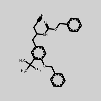 CC(C)(C)c1cc(CC(CC#N)NC(=O)OCc2ccccc2)ccc1OCc1ccccc1